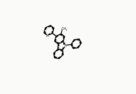 Cc1cc2c(cc1-c1ccccn1)c1ccccc1n2-c1ccccc1